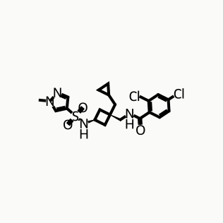 Cn1cc(S(=O)(=O)N[C@H]2C[C@](CNC(=O)c3ccc(Cl)cc3Cl)(CC3CC3)C2)cn1